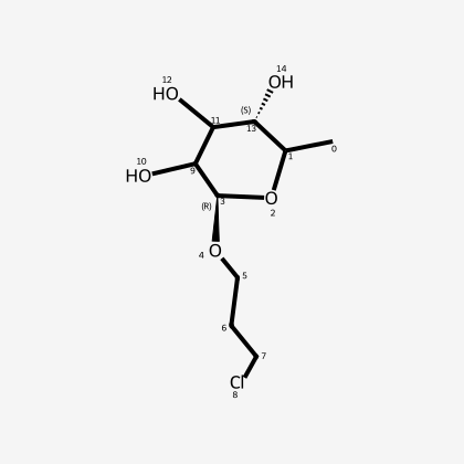 CC1O[C@@H](OCCCCl)C(O)C(O)[C@@H]1O